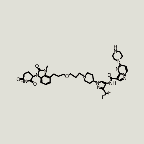 Cn1c(=O)n(C2CCC(=O)NC2=O)c2cccc(CCCOCCCN3CCC(n4cc(NC(=O)c5cnn6ccc(N7CCNCC7)nc56)c(C(F)F)n4)CC3)c21